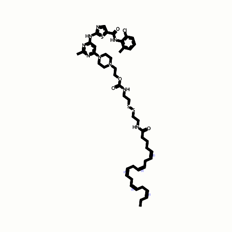 CC/C=C\C/C=C\C/C=C\C/C=C\C/C=C\CCCC(=O)NCCSSCCNC(=O)OCCN1CCN(c2cc(Nc3ncc(C(=O)Nc4c(C)cccc4Cl)s3)nc(C)n2)CC1